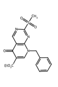 CCOC(=O)c1cn(Cc2ccccc2)c2nc(S(C)(=O)=O)ncc2c1=O